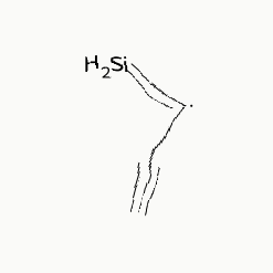 C#C[C]=[SiH2]